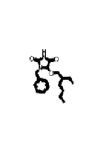 CCCCC(CC)COC1C(=O)NC(=O)N1Cc1ccccc1